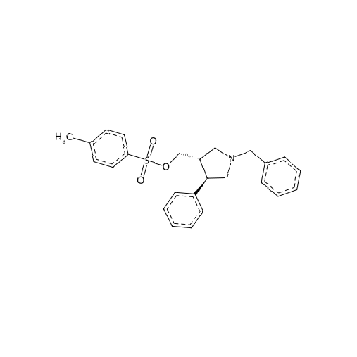 Cc1ccc(S(=O)(=O)OC[C@@H]2CN(Cc3ccccc3)C[C@H]2c2ccccc2)cc1